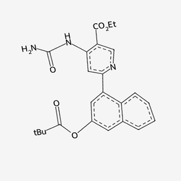 CCOC(=O)c1cnc(-c2cc(OC(=O)C(C)(C)C)cc3ccccc23)cc1NC(N)=O